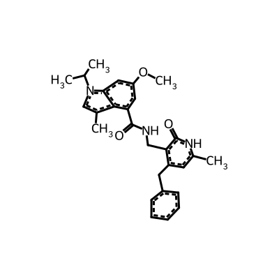 COc1cc(C(=O)NCc2c(Cc3ccccc3)cc(C)[nH]c2=O)c2c(C)cn(C(C)C)c2c1